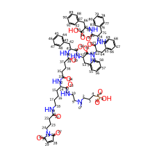 CN(CCCS(=O)(=O)O)CCNC(=O)C(CCCCNC(=O)CCCN1C(=O)C=CC1=O)NC(=O)CCCC(=O)NC(Cc1ccccc1)C(=O)NC(Cc1ccccc1)C(=O)NC(Cc1ccccc1)C(=O)NC(Cc1ccccc1)C(=O)NC(Cc1ccccc1)C(=O)O